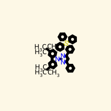 CC(C)(C)c1ccc2c(c1)c1cc(C(C)(C)C)ccc1n2-c1nc(-c2ccccc2)cc(-c2cccc(S(c3ccccc3)(c3ccccc3)c3ccccc3)c2)n1